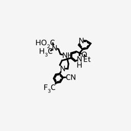 CCOC1(c2cccnc2)C=CC(C2(NCCN(C)C(=O)O)CCN(c3ccc(C(F)(F)F)cc3C#N)CC2)=CN1